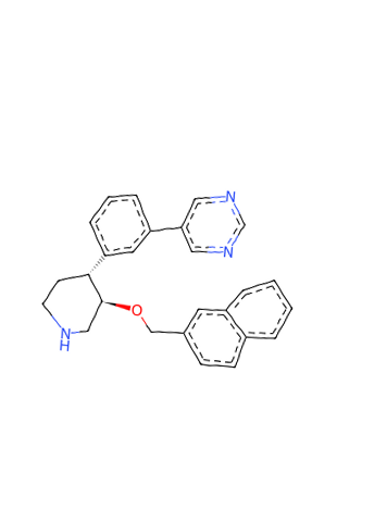 c1cc(-c2cncnc2)cc([C@H]2CCNC[C@@H]2OCc2ccc3ccccc3c2)c1